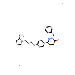 CC1CCCN1CCCOc1ccc(-c2ccc(=O)n(Cc3ccccc3)n2)cc1